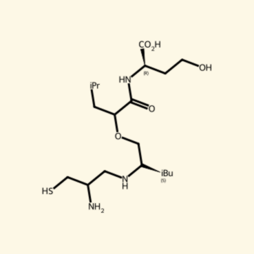 CC[C@H](C)C(COC(CC(C)C)C(=O)N[C@H](CCO)C(=O)O)NCC(N)CS